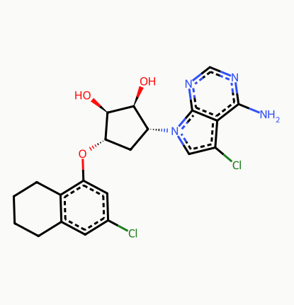 Nc1ncnc2c1c(Cl)cn2[C@@H]1C[C@H](Oc2cc(Cl)cc3c2CCCC3)[C@@H](O)[C@H]1O